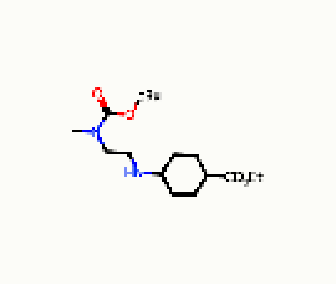 CCOC(=O)C1CCC(NCCN(C)C(=O)OC(C)(C)C)CC1